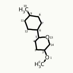 COC1CCC(C2CCC(C)CC2)OC1